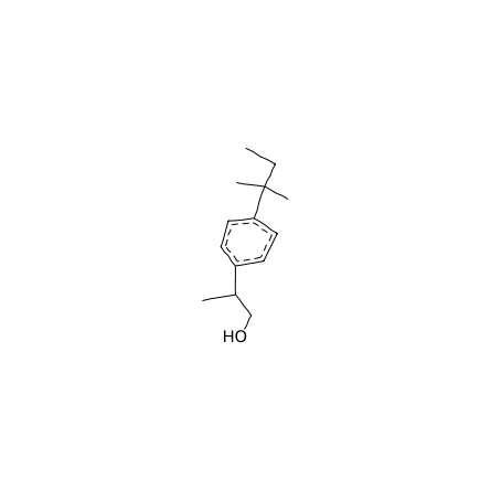 CCC(C)(C)c1ccc(C(C)CO)cc1